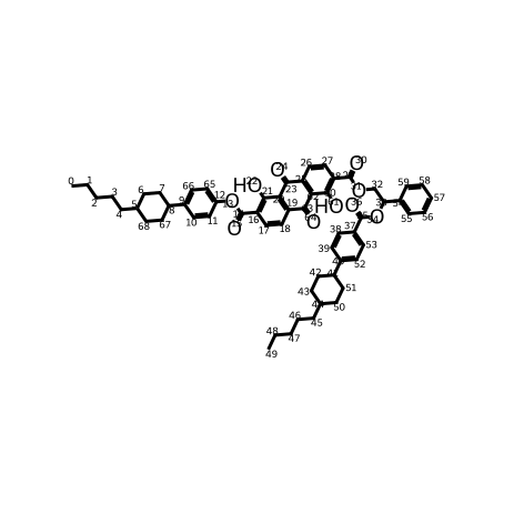 CCCCCC1CCC(c2ccc(OC(=O)c3ccc4c(c3O)C(=O)c3ccc(C(=O)OCC(OC(=O)c5ccc(C6CCC(CCCCC)CC6)cc5)c5ccccc5)c(O)c3C4=O)cc2)CC1